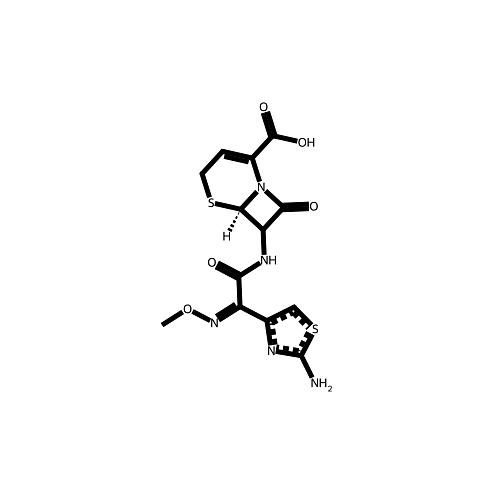 CO/N=C(\C(=O)NC1C(=O)N2C(C(=O)O)=CCS[C@H]12)c1csc(N)n1